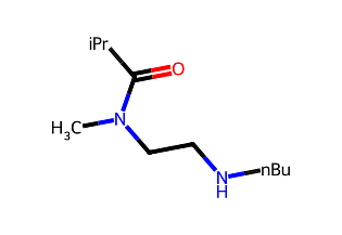 CCCCNCCN(C)C(=O)C(C)C